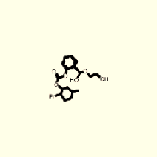 CC1CCC(C(C)C)C(OC(=O)Oc2ccccc2C(O)OCCO)C1